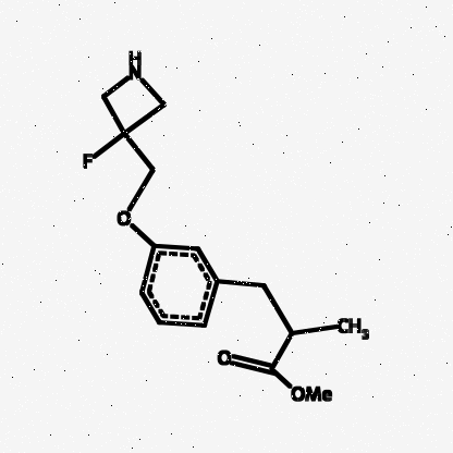 COC(=O)C(C)Cc1cccc(OCC2(F)CNC2)c1